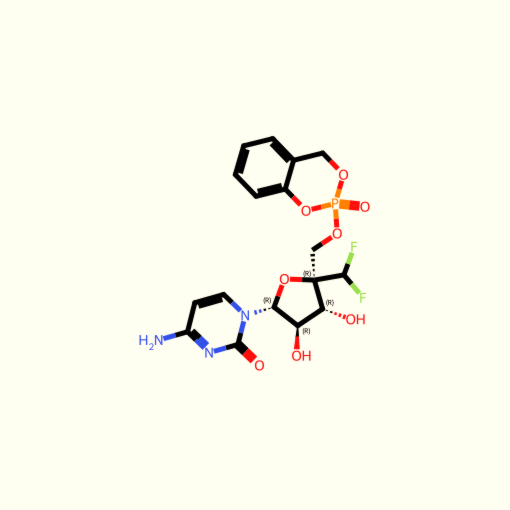 Nc1ccn([C@@H]2O[C@@](COP3(=O)OCc4ccccc4O3)(C(F)F)[C@H](O)[C@H]2O)c(=O)n1